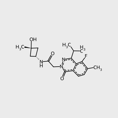 Cc1ccc2c(=O)n(CC(=O)N[C@H]3C[C@@](C)(O)C3)nc(C(C)C)c2c1F